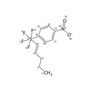 CCC/C=C/S(F)(F)(F)(F)c1ccc([N+](=O)[O-])cc1